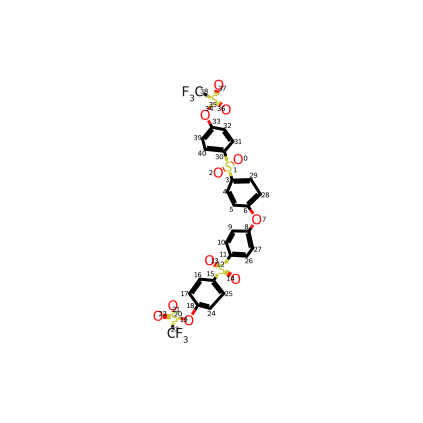 O=S(=O)(c1ccc(Oc2ccc(S(=O)(=O)c3ccc(OS(=O)(=O)C(F)(F)F)cc3)cc2)cc1)c1ccc(OS(=O)(=O)C(F)(F)F)cc1